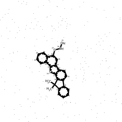 CC1(C)c2ccccc2-c2ccc3c(sc4c5ccccc5c(OBO)cc34)c21